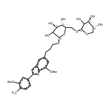 COc1cc(-c2cc3cc(CCCO[C@@H]4OC(CO[C@@H]5OC[C@@H](O)[C@H](O)C5O)[C@@H](O)[C@H](O)C4O)cc(OC)c3o2)ccc1C